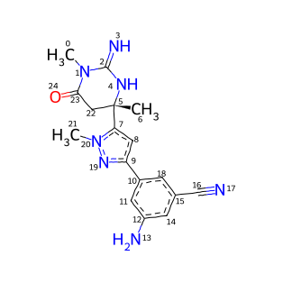 CN1C(=N)N[C@](C)(c2cc(-c3cc(N)cc(C#N)c3)nn2C)CC1=O